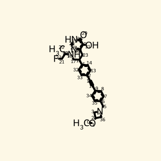 COC1CN(Cc2ccc(C#Cc3ccc(C(CN[C@@H](C)CF)Cc4nc[nH]c(=O)c4O)cc3)cc2)C1